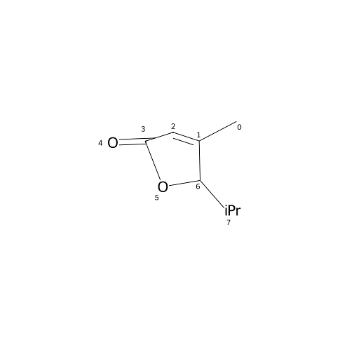 CC1=CC(=O)OC1C(C)C